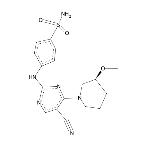 CO[C@H]1CCCN(c2nc(Nc3ccc(S(N)(=O)=O)cc3)ncc2C#N)C1